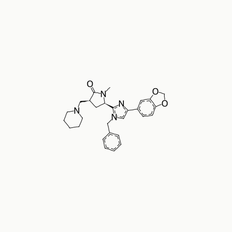 CN1C(=O)[C@H](CN2CCCCC2)C[C@@H]1c1nc(-c2ccc3c(c2)OCO3)cn1Cc1ccccc1